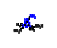 CN(CCS(=O)(=O)O)c1nc(NCCN)nc(N(C)CCS(=O)(=O)O)n1